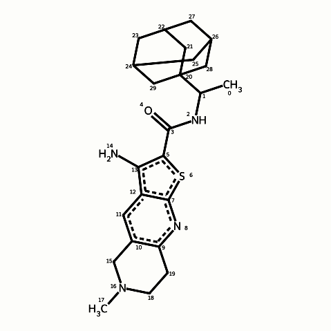 CC(NC(=O)c1sc2nc3c(cc2c1N)CN(C)CC3)C12CC3CC(CC(C3)C1)C2